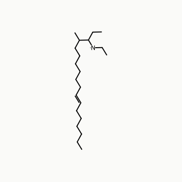 CCCCCCC=CCCCCCCC(C)C(CC)[N]CC